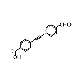 C[C@@H](O)c1ccc(C#Cc2ccc([C]=O)cc2)cc1